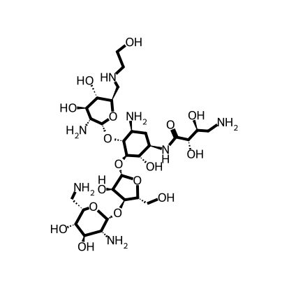 NC[C@@H]1O[C@H](O[C@H]2[C@@H](O)[C@H](O[C@@H]3[C@@H](O)[C@H](NC(=O)[C@@H](O)[C@@H](O)CN)C[C@H](N)[C@H]3O[C@H]3O[C@H](CNCCO)[C@@H](O)[C@H](O)[C@H]3N)O[C@@H]2CO)[C@H](N)[C@@H](O)[C@@H]1O